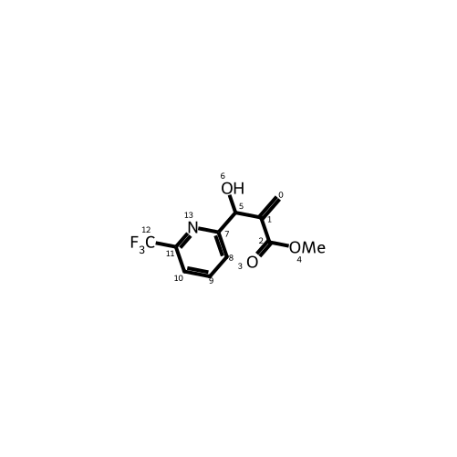 C=C(C(=O)OC)C(O)c1cccc(C(F)(F)F)n1